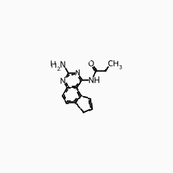 CCC(=O)Nc1nc(N)nc2ccc3c(c12)C=CC3